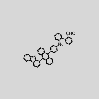 CN(c1ccc(-c2c3ccccc3c(-c3cccc4c3sc3ccccc34)c3ccccc23)cc1)c1ccccc1-c1ccccc1C=O